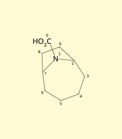 O=C(O)N1C2CCCCC1CC2